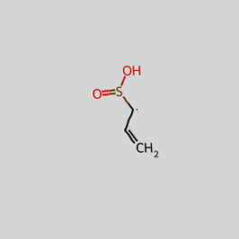 C=C[CH]S(=O)O